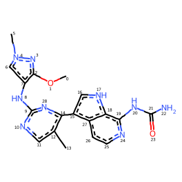 COc1nn(C)cc1Nc1ncc(C)c(-c2c[nH]c3c(NC(N)=O)nccc23)n1